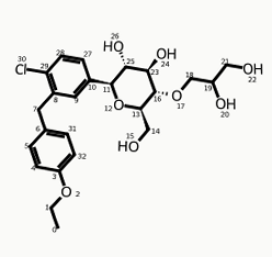 CCOc1ccc(Cc2cc([C@@H]3O[C@H](CO)[C@@H](OCC(O)CO)[C@H](O)[C@H]3O)ccc2Cl)cc1